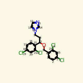 Clc1ccc(COC(CCn2ccnc2)c2ccc(Cl)cc2Cl)c(Cl)c1